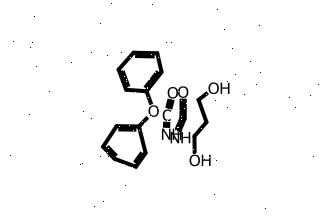 N=C=O.N=C=O.OCCCO.c1ccc(Oc2ccccc2)cc1